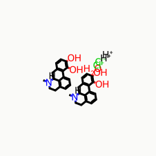 CN1CCc2cccc3c2[C@H]1Cc1ccc(O)c(O)c1-3.CN1CCc2cccc3c2[C@H]1Cc1ccc(O)c(O)c1-3.O.[Cl-].[Cl-].[H+].[H+]